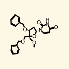 COC[C@]1(COCc2ccccc2)O[C@@H](n2ccc(=O)[nH]c2=O)C[C@@H]1OCc1ccccc1